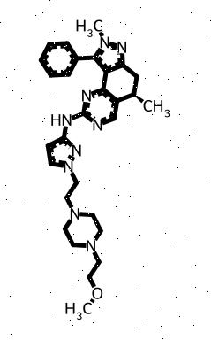 COCCN1CCN(CCn2ccc(Nc3ncc4c(n3)-c3c(nn(C)c3-c3ccccc3)C[C@H]4C)n2)CC1